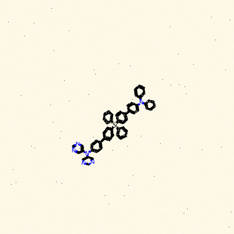 c1ccc(N(c2ccccc2)c2ccc(-c3ccc([Si](c4ccccc4)(c4ccccc4)c4ccc(-c5ccc(N(c6cncnc6)c6cncnc6)cc5)cc4)cc3)cc2)cc1